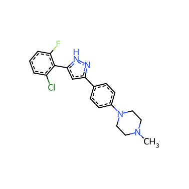 CN1CCN(c2ccc(-c3cc(-c4c(F)cccc4Cl)[nH]n3)cc2)CC1